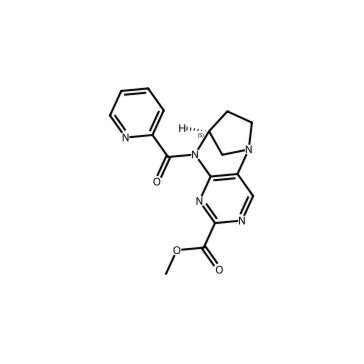 COC(=O)c1ncc2c(n1)N(C(=O)c1ccccn1)[C@H]1CCN2C1